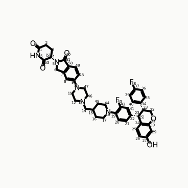 O=C1CC[C@H](N2Cc3cc(N4CCN(CC5CCN(c6ccc([C@H]7c8ccc(O)cc8OC[C@H]7c7ccc(F)cc7)cc6F)CC5)CC4)ccc3C2=O)C(=O)N1